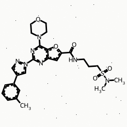 Cc1cccc(-c2cnn(-c3nc(N4CCOCC4)c4oc(C(=O)NCCCS(=O)(=O)N(C)C)cc4n3)c2)c1